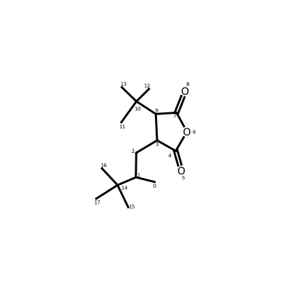 CC(CC1C(=O)OC(=O)C1C(C)(C)C)C(C)(C)C